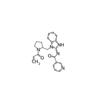 C=CC(=O)N1CCCC1Cn1/c(=N\C(=O)c2cccnc2)[nH]c2ccccc21